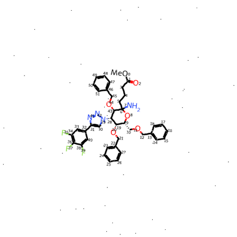 COC(=O)CCCC1(N)O[C@H](COCc2ccccc2)[C@H](OCc2ccccc2)[C@H](n2cc(-c3cc(F)c(F)c(F)c3)nn2)[C@H]1OCc1ccccc1